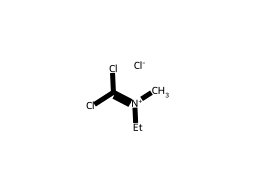 CC[N+](C)=C(Cl)Cl.[Cl-]